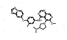 COc1ncc2ncnc(Nc3ccc(Oc4ccn5ncnc5c4)c(C)c3)c2c1N1CCC(N(C)C)C1